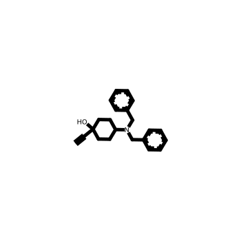 C#CC1(O)CCC(N(Cc2ccccc2)Cc2ccccc2)CC1